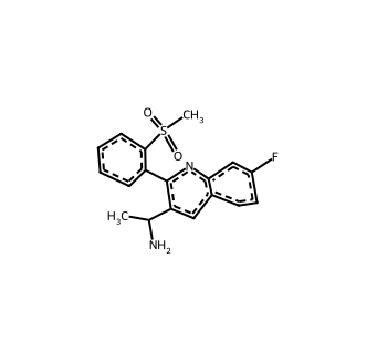 CC(N)c1cc2ccc(F)cc2nc1-c1ccccc1S(C)(=O)=O